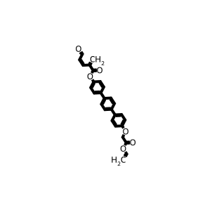 C=COC(=O)COc1ccc(-c2ccc(-c3ccc(OC(=O)C(=C)/C=C\C=O)cc3)cc2)cc1